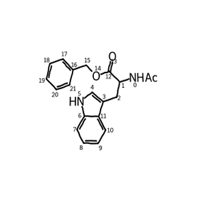 CC(=O)NC(Cc1c[nH]c2ccccc12)C(=O)OCc1ccccc1